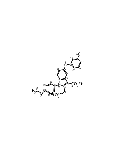 CCOC(=O)Cc1c(C(=O)OCC)c2cc(Oc3cccc(Cl)c3)ccc2n1-c1ccc(OC(F)(F)F)cc1